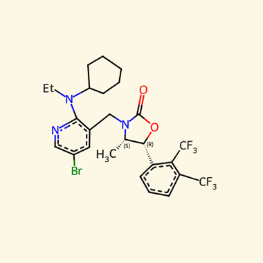 CCN(c1ncc(Br)cc1CN1C(=O)O[C@H](c2cccc(C(F)(F)F)c2C(F)(F)F)[C@@H]1C)C1CCCCC1